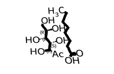 CC(=O)[C@H](O)[C@@H](O)[C@H](O)[C@H](O)CO.CCCCCCCC(=O)O